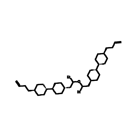 C=CCC[C@H]1CC[C@H]([C@H]2CC[C@H](CC(CC)OC(CC)C[C@H]3CC[C@H]([C@H]4CC[C@H](CCC=C)CC4)CC3)CC2)CC1